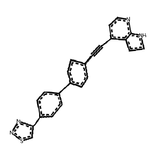 C(#Cc1ccnc2[nH]ccc12)c1ccc(-c2ccc(-c3csnn3)cc2)cc1